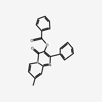 Cc1ccn2c(=O)c(OC(=O)c3ccccc3)c(-c3ccccc3)nc2c1